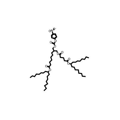 CCCCCCCCC(CCCCCCCC)OC(=O)CCCCCCC(COC(=O)CCCC(=O)OC(CCCCCCCC)CCCCCCCC)COC(=O)Oc1ccc([N+](=O)[O-])cc1